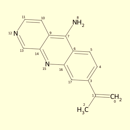 C=C(C)c1ccc2c(N)c3ccncc3nc2c1